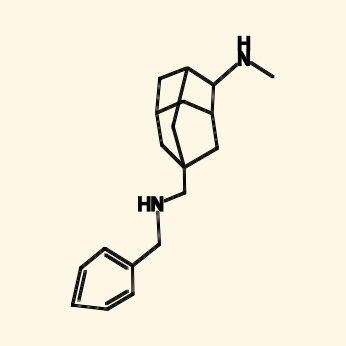 CNC1C2CC3CC1CC(CNCc1ccccc1)(C3)C2